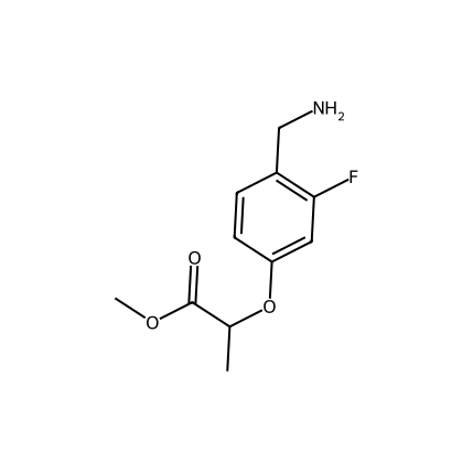 COC(=O)C(C)Oc1ccc(CN)c(F)c1